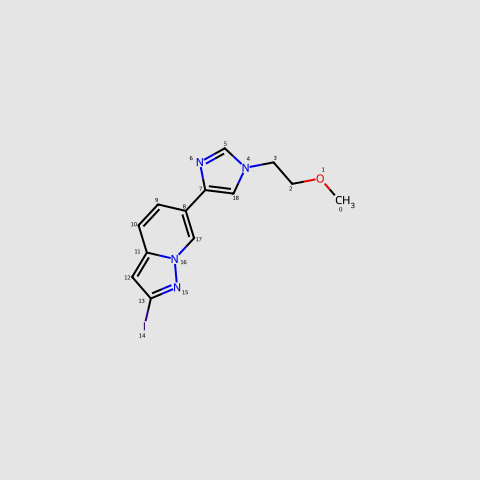 COCCn1cnc(-c2ccc3cc(I)nn3c2)c1